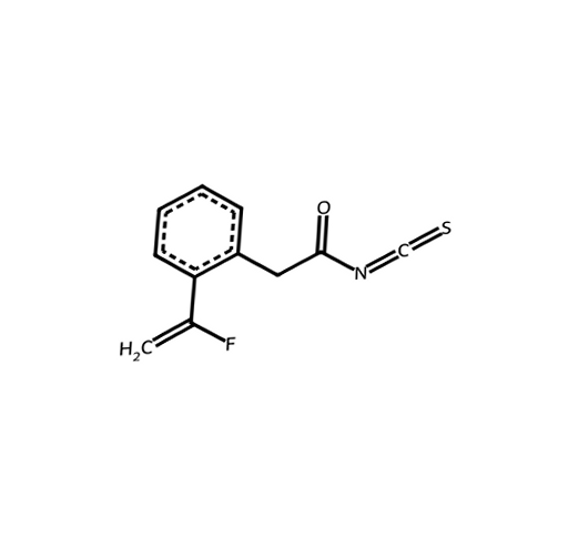 C=C(F)c1ccccc1CC(=O)N=C=S